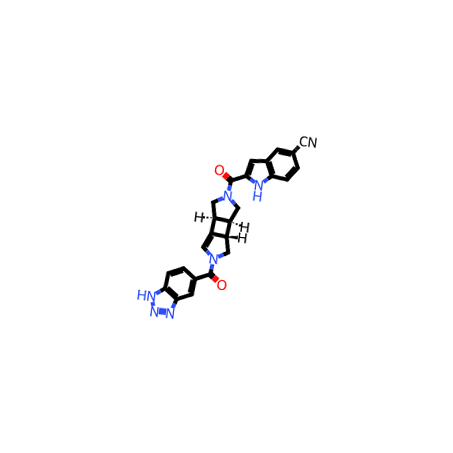 N#Cc1ccc2[nH]c(C(=O)N3C[C@H]4[C@@H]5CN(C(=O)c6ccc7[nH]nnc7c6)C=C5[C@H]4C3)cc2c1